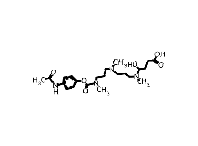 CC(=O)Nc1ccc(OC(=O)N(C)CCCN(C)CCCN(C)C(O)CCC(=O)O)cc1